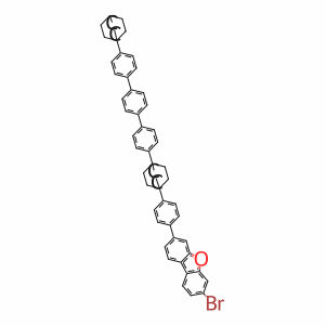 Brc1ccc2c(c1)oc1cc(-c3ccc(C45CCC(c6ccc(-c7ccc(-c8ccc(C9%10CCC(CC9)CC%10)cc8)cc7)cc6)(CC4)CC5)cc3)ccc12